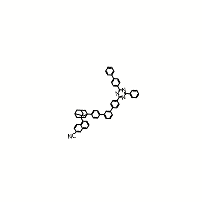 N#Cc1ccc2c(C34CC5CC(CC(c6ccc(-c7cccc(-c8ccc(-c9nc(-c%10ccccc%10)nc(-c%10ccc(-c%11ccccc%11)cc%10)n9)cc8)c7)cc6)(C5)C3)C4)cccc2c1